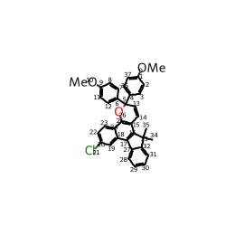 COc1ccc(C2(c3ccc(OC)cc3)C=Cc3c4c(c5cc(Cl)ccc5c3O2)-c2ccccc2C4(C)C)cc1